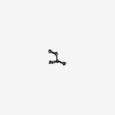 [O-]OO[O-].[Zn+2]